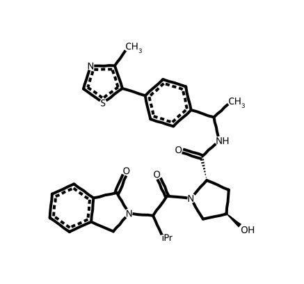 Cc1ncsc1-c1ccc(C(C)NC(=O)[C@@H]2C[C@@H](O)CN2C(=O)C(C(C)C)N2Cc3ccccc3C2=O)cc1